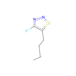 C[CH]CCc1snnc1F